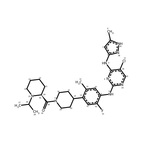 Cc1cc(Nc2nc(Nc3cc(C)c(C4CCN(C(=O)[C@@H]5CCCCN5C(C)C)CC4)cc3F)ncc2Cl)n[nH]1